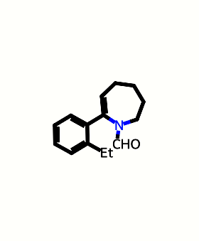 CCc1ccccc1C1=CCCCCN1C=O